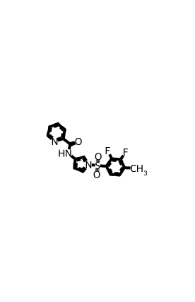 Cc1ccc(S(=O)(=O)n2ccc(NC(=O)c3ccccn3)c2)c(F)c1F